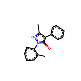 Cc1ccccc1-n1[nH]c(C)c(-c2ccccc2)c1=O